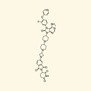 Nc1ncnc2c1n(-c1ccc(Oc3ccncc3)c(F)c1)c(=O)n2C1CCN(C2CCN(C3CN(c4ccc5c(c4)C(=O)N(C4CCC(=O)NC4=O)C5=O)C3)CC2)CC1